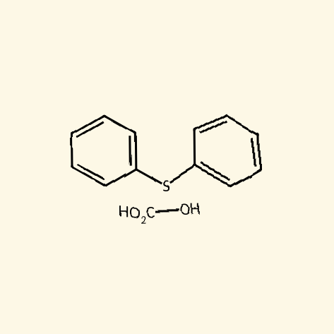 O=C(O)O.c1ccc(Sc2ccccc2)cc1